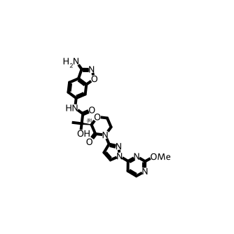 COc1nccc(-n2ccc(N3CCO[C@H](C(C)(O)C(=O)Nc4ccc5c(N)noc5c4)C3=O)n2)n1